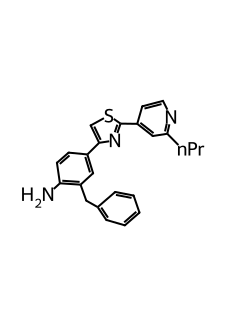 CCCc1cc(-c2nc(-c3ccc(N)c(Cc4ccccc4)c3)cs2)ccn1